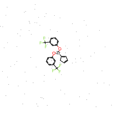 FC(F)(F)c1cccc([O][Zr]([O]c2cccc(C(F)(F)F)c2)[C]2=CC=CC2)c1